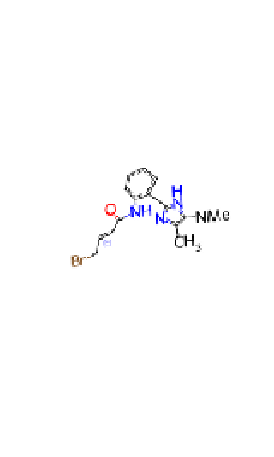 CNc1[nH]c(-c2ccccc2NC(=O)/C=C/CBr)nc1C